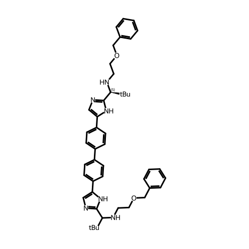 CC(C)(C)C(NCCOCc1ccccc1)c1ncc(-c2ccc(-c3ccc(-c4cnc([C@@H](NCCOCc5ccccc5)C(C)(C)C)[nH]4)cc3)cc2)[nH]1